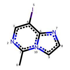 Cc1ncc(I)c2nccn12